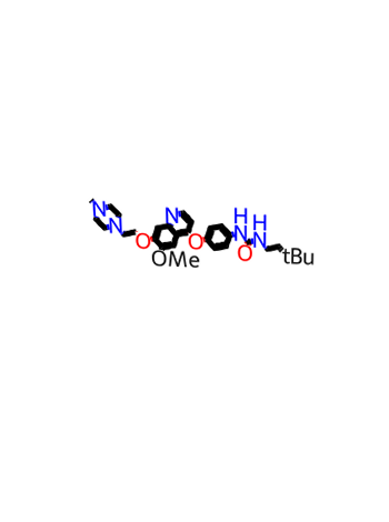 COc1cc2c(Oc3ccc(NC(=O)NCCC(C)(C)C)cc3)ccnc2cc1OCCN1CCN(C)CC1